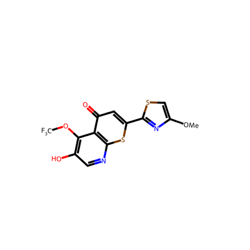 COc1csc(-c2cc(=O)c3c(OC(F)(F)F)c(O)cnc3s2)n1